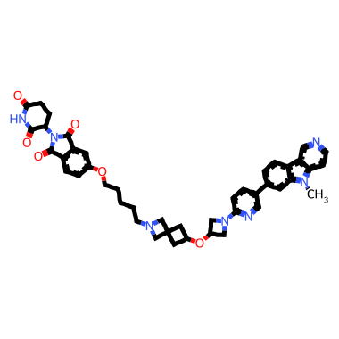 Cn1c2ccncc2c2ccc(-c3ccc(N4CC(OC5CC6(C5)CN(CCCCCOc5ccc7c(c5)C(=O)N(C5CCC(=O)NC5=O)C7=O)C6)C4)nc3)cc21